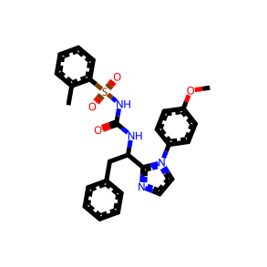 COc1ccc(-n2ccnc2C(Cc2ccccc2)NC(=O)NS(=O)(=O)c2ccccc2C)cc1